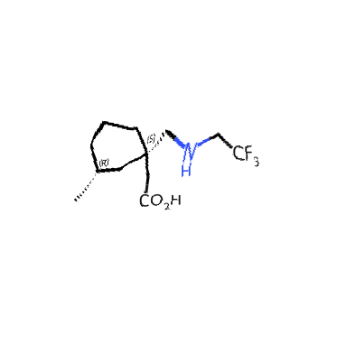 C[C@@H]1CCC[C@@](CNCC(F)(F)F)(CC(=O)O)C1